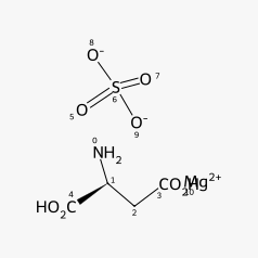 N[C@@H](CC(=O)O)C(=O)O.O=S(=O)([O-])[O-].[Mg+2]